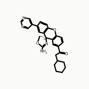 NC1=N[C@]2(CO1)c1cc(C(=O)CC3CCCCC3)ccc1Oc1ccc(-c3cncnc3)cc12